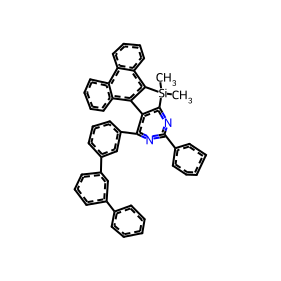 C[Si]1(C)c2nc(-c3ccccc3)nc(-c3cccc(-c4cccc(-c5ccccc5)c4)c3)c2-c2c1c1ccccc1c1ccccc21